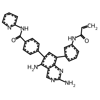 C=CC(=O)Nc1cccc(-c2cc(-c3ccc(C(=O)Nc4ccccn4)cc3)c(N)c3cnc(N)nc23)c1